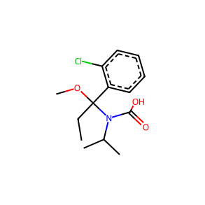 CCC(OC)(c1ccccc1Cl)N(C(=O)O)C(C)C